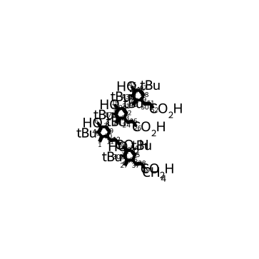 C.C=C1C(C(C)(C)C)=C(O)C(C(C)(C)C)=CC1C=CC(=O)O.C=C1C(C(C)(C)C)=C(O)C(C(C)(C)C)=CC1C=CC(=O)O.C=C1C(C(C)(C)C)=C(O)C(C(C)(C)C)=CC1C=CC(=O)O.C=C1C(C(C)(C)C)=C(O)C(C(C)(C)C)=CC1C=CC(=O)O